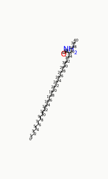 CCCCC=CC=CC=CC=CC=CCCCCCCCCCCCCCCCCCC=CCCC(CCCCC)C(N)=O